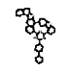 c1ccc(C2=NC(c3cccc4oc5ccc(-c6cccc7c6sc6ccc8ccccc8c67)cc5c34)NC(c3ccc(-c4ccccc4)cc3)N2)cc1